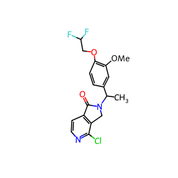 COc1cc(C(C)N2Cc3c(ccnc3Cl)C2=O)ccc1OCC(F)F